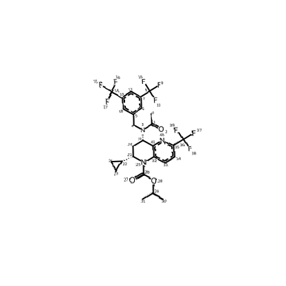 CC(=O)N(Cc1cc(C(F)(F)F)cc(C(F)(F)F)c1)[C@H]1C[C@@H](C2CC2)N(C(=O)OC(C)C)c2ccc(C(F)(F)F)nc21